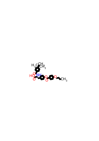 CCCCOc1ccc(C(=O)Oc2ccc(C[C@H](NC(=O)c3ccc(C(C)(C)C)cc3)C(=O)O)cc2)cc1